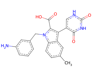 Cc1ccc2c(c1)c(-c1c[nH]c(=O)[nH]c1=O)c(C(=O)O)n2Cc1cccc(N)c1